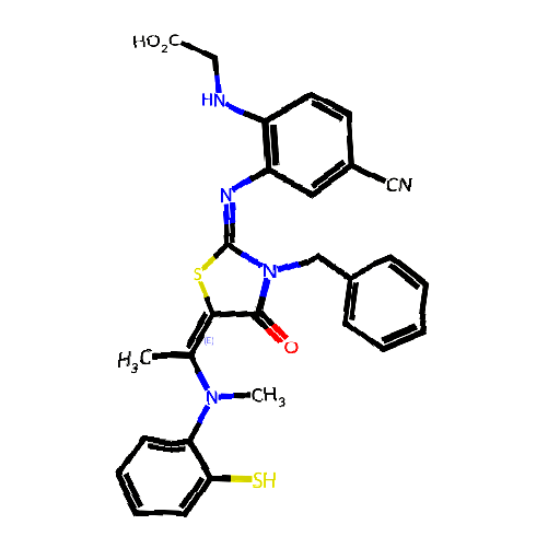 C/C(=C1\SC(=Nc2cc(C#N)ccc2NCC(=O)O)N(Cc2ccccc2)C1=O)N(C)c1ccccc1S